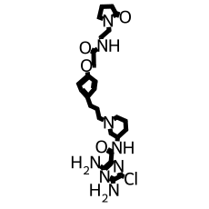 Nc1nc(N)c(C(=O)NC2CCCN(CCCc3ccc(OCC(=O)NCCN4CCCC4=O)cc3)C2)nc1Cl